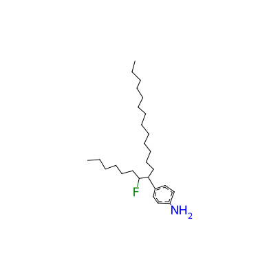 CCCCCCCCCCCCCC(c1ccc(N)cc1)C(F)CCCCCC